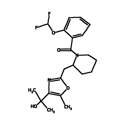 Cc1oc(CC2CCCCN2C(=O)c2ccccc2OC(F)F)nc1C(C)(C)O